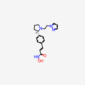 O=C(C=Cc1ccc([C@@H]2CCCN2CCn2cccn2)cc1)NO